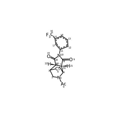 CC(=O)N1CC2CCC1[C@H]1C(=O)N(c3cccc(C(F)(F)F)c3)C(=O)[C@@H]21